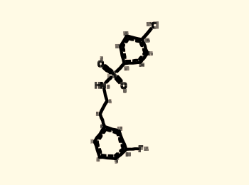 O=S(=O)(NCCc1cc[c]c(F)c1)c1ccc(Cl)cc1